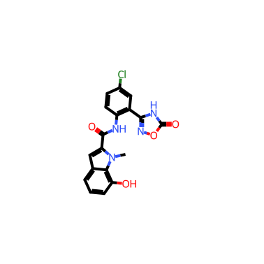 Cn1c(C(=O)Nc2ccc(Cl)cc2-c2noc(=O)[nH]2)cc2cccc(O)c21